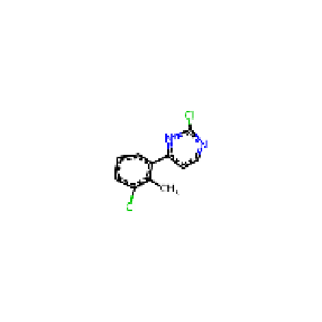 Cc1c(Cl)cccc1-c1ccnc(Cl)n1